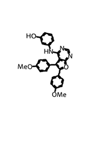 COc1ccc(-c2oc3ncnc(Nc4cccc(O)c4)c3c2-c2ccc(OC)cc2)cc1